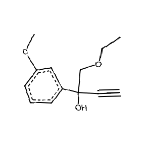 C#CC(O)(COCC)c1cccc(OC)c1